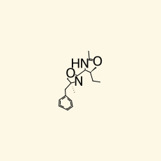 CC[C@H](C)C(NC(C)=O)C1=N[C@@](C)(Cc2ccccc2)CO1